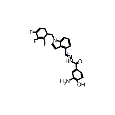 Nc1cc(C(=O)N/N=C/c2cccc3c2ccn3CC2CC=C(F)C(F)=C2F)ccc1O